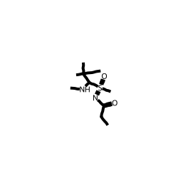 CCC(=O)N=S(C)(=O)C(NC)C(C)(C)C